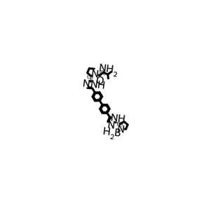 BN1CCC[C@H]1c1ncc(-c2ccc(-c3ccc(-c4cnc([C@@H]5CCCN5C(=O)[C@H](N)C(C)C)[nH]4)cc3)cc2)[nH]1